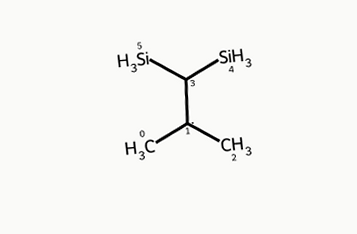 C[C](C)C([SiH3])[SiH3]